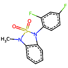 CN1c2ccccc2N(c2ccc(F)cc2F)S1(=O)=O